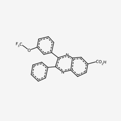 O=C(O)c1ccc2nc(-c3ccccc3)c(-c3cccc(OC(F)(F)F)c3)nc2c1